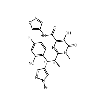 CCn1cc([C@H](c2ccc(F)cc2C#N)[C@H](C)c2nc(C(=O)Nc3cnoc3)c(O)c(=O)n2C)cn1